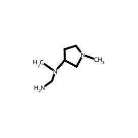 CN1CCC(N(C)CN)C1